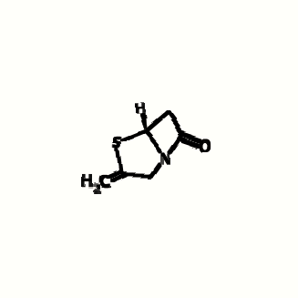 C=C1CN2C(=O)C[C@H]2S1